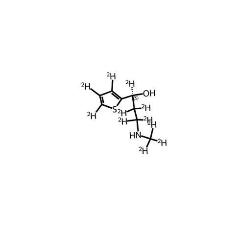 [2H]c1sc([C@@]([2H])(O)C([2H])([2H])C([2H])([2H])NC([2H])([2H])[2H])c([2H])c1[2H]